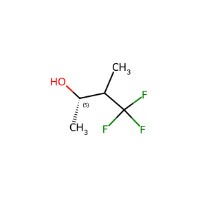 CC([C@H](C)O)C(F)(F)F